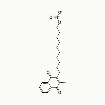 CC1=C(CCCCCCCCCCO[N+](=O)[O-])C(=O)c2ccccc2C1=O